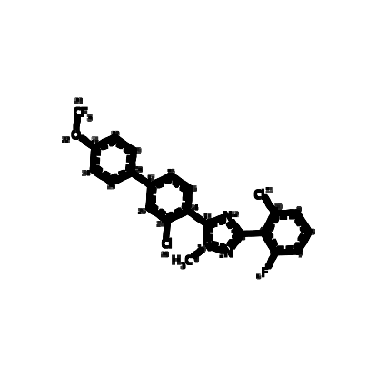 Cn1nc(-c2c(F)cccc2Cl)nc1-c1ccc(-c2ccc(OC(F)(F)F)cc2)cc1Cl